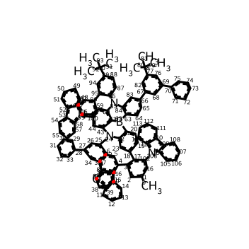 Cc1cc(-c2cccc3oc4ccccc4c23)c(-c2ccc3c(c2)N(c2cc(-c4ccccc4)cc(-c4ccccc4)c2)c2cc(-n4c5ccccc5c5ccccc54)cc4c2B3c2ccc(-c3cc(-c5ccccc5)cc(C(C)(C)C)c3)cc2N4c2ccc(C(C)(C)C)cc2-c2ccccc2)c(-n2c3ccccc3c3ccccc32)c1